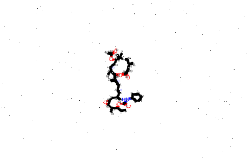 CCC(OC(=O)Nc1ccccc1)C(C)C1OC1CC(C)/C=C/C=C(\C)C1OC(=O)CC(C)CCC(C)(C)C(OC(C)=O)/C=C/C1C